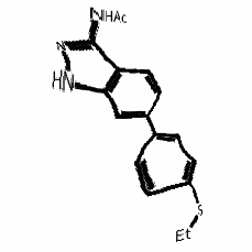 CCSc1ccc(-c2ccc3c(NC(C)=O)n[nH]c3c2)cc1